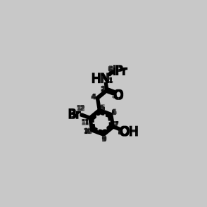 CC(C)NC(=O)Cc1cc(O)ccc1Br